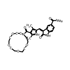 CNC(=O)c1ccc2c(c1)/C(=C/c1[nH]c(C)c(C(=O)N3CCOCCOCCOCCOCC3)c1C)C(=O)N2